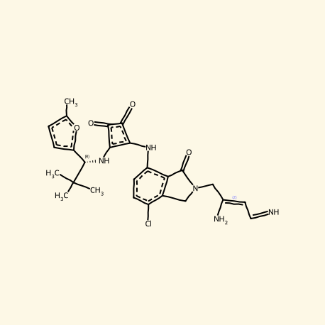 Cc1ccc([C@H](Nc2c(Nc3ccc(Cl)c4c3C(=O)N(C/C(N)=C/C=N)C4)c(=O)c2=O)C(C)(C)C)o1